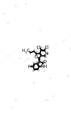 CCCC1O/C(=C2/C(=O)Nc3ccc(F)cc32)c2cnc(Cl)c(Cl)c21